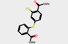 COC(=O)c1ccc(Sc2ccccc2C(=O)OC)cc1S